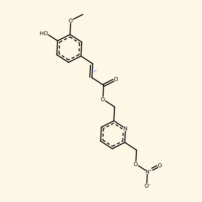 COc1cc(/C=C/C(=O)OCc2cccc(CO[N+](=O)[O-])n2)ccc1O